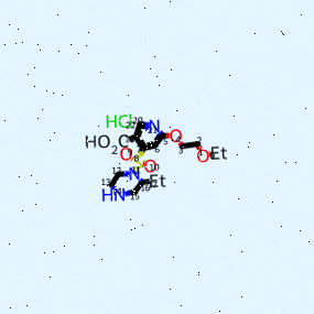 CCOCCOc1cc(S(=O)(=O)N2CCNCC2CC)c(C(=O)O)cn1.Cl